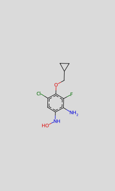 Nc1c(NO)cc(Cl)c(OCC2CC2)c1F